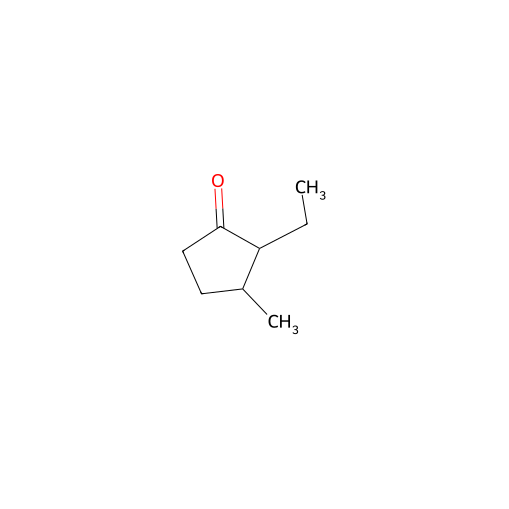 CCC1C(=O)CCC1C